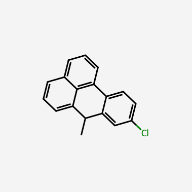 CC1c2cc(Cl)ccc2-c2cccc3cccc1c23